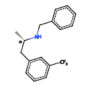 C[C@@H](Cc1cccc(C(F)(F)F)c1)NCc1ccccc1